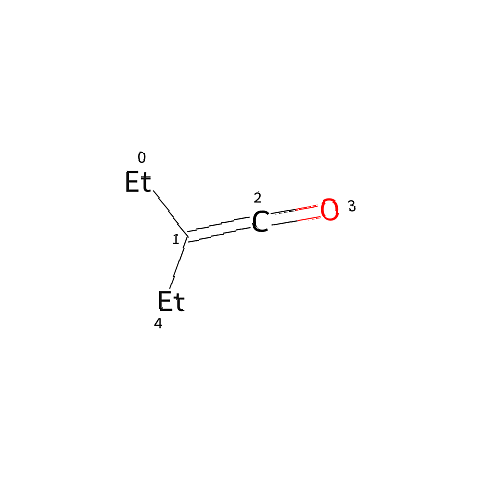 CCC(=C=O)CC